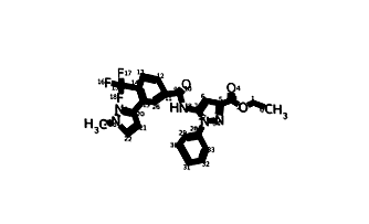 CCOC(=O)c1cc(NC(=O)c2ccc(C(F)(F)F)c(-c3ccn(C)n3)c2)n(-c2ccccc2)n1